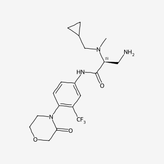 CN(CC1CC1)[C@@H](CN)C(=O)Nc1ccc(N2CCOCC2=O)c(C(F)(F)F)c1